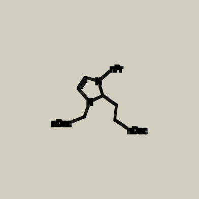 CCCCCCCCCCCCC1N(CCC)C=CN1CCCCCCCCCCC